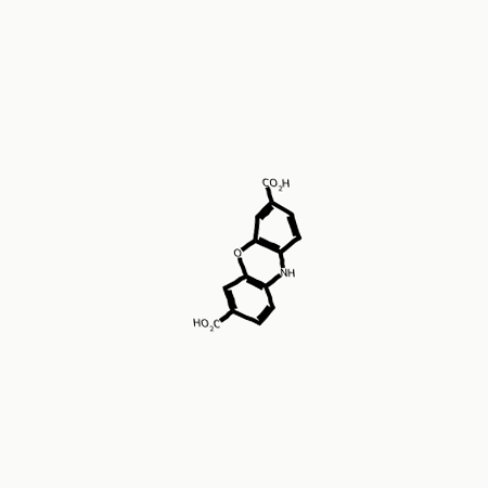 O=C(O)c1ccc2c(c1)Oc1cc(C(=O)O)ccc1N2